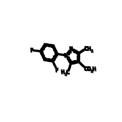 Cc1nn(-c2ccc(F)cc2F)c(C)c1C(=O)O